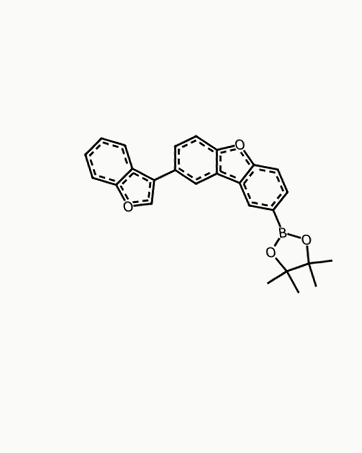 CC1(C)OB(c2ccc3oc4ccc(-c5coc6ccccc56)cc4c3c2)OC1(C)C